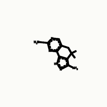 CC1(C)Cc2cnc(N)nc2-c2[nH]nc(N)c21